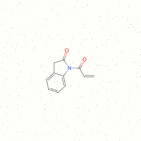 C=CC(=O)N1C(=O)Cc2ccccc21